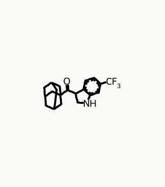 O=C(C1CNc2cc(C(F)(F)F)ccc21)C12CC3CC(CC(C3)C1)C2